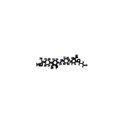 C=CCCOc1ccc(C2CCC(/C=C/c3ccc(C4CCC(C(C)O)CC4)c(F)c3F)CC2)cc1F